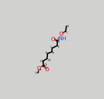 CCONC(=O)CCCCCCC(=O)OC